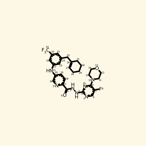 O=C(NNc1ncc(F)c(N2CCOCC2)n1)c1ccc(Nc2cc(CC3=CCCCC3)cc(C(F)(F)F)c2)cn1